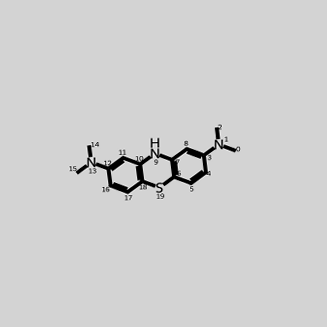 CN(C)c1ccc2c(c1)Nc1cc(N(C)C)ccc1S2